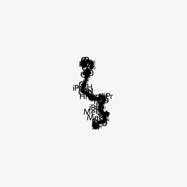 CC[C@H](C)C([C@@H](CC(=O)N1CCC[C@H]1[C@H](OC)[C@@H](C)C(=O)NCCc1c(F)cccc1F)OC)N(C)C(=O)CNC(=O)C(C(C)C)N(C)C(=O)OCc1ccc(NC(=O)CNC(=O)C(NC(=O)CCCCCN2C(=O)CC(SCC(C)(C)CC(C)(C)CC(=O)ON3C(=O)CCC3=O)C2=O)C(C)C)cc1